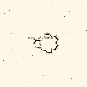 CCCCC/C=C\C/C=C\C/C=C\C/C=C\CCC(C)CC(F)C(N)=O